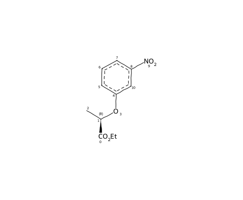 CCOC(=O)[C@@H](C)Oc1cccc([N+](=O)[O-])c1